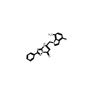 Cc1ccc(F)c2ccn(Cc3cc(=O)n4nc(-c5ccccc5)nc4[nH]3)c12